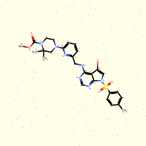 Cc1ccc(S(=O)(=O)n2cc(Br)c3c(NCc4cccc(N5CCN(C(=O)OC(C)(C)C)C(C)(C)C5)n4)ncnc32)cc1